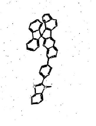 Cn1c(-c2ccc(-c3ccc4cc5c(cc4c3)C3(c4ccccc4-c4ccccc43)c3c-5ccc4ccccc34)cc2)nc2ccccc21